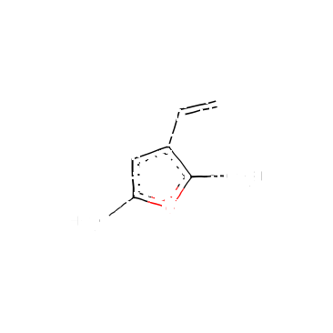 C=Cc1cc(C(=O)O)oc1C(=O)O